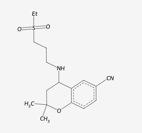 CCS(=O)(=O)CCCNC1CC(C)(C)Oc2ccc(C#N)cc21